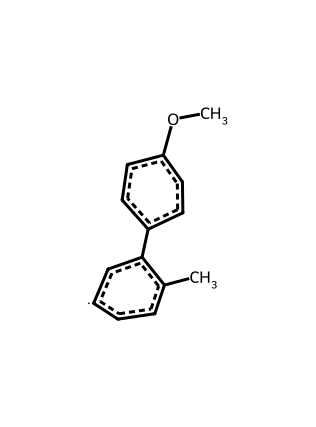 COc1ccc(-c2c[c]ccc2C)cc1